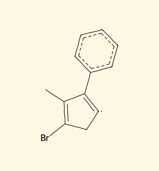 CC1=C(Br)C[C]=C1c1ccccc1